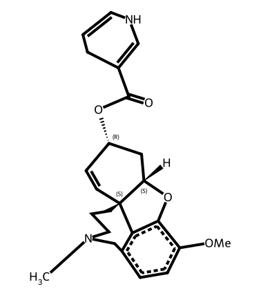 COc1ccc2c3c1O[C@H]1C[C@@H](OC(=O)C4=CNC=CC4)C=C[C@@]31CCCN(C)C2